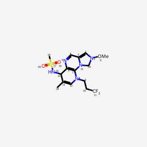 CON1C=C2C=NC3=C(N(CCC(F)(F)F)C=C(C)C3NS(C)(=O)=O)N2C1